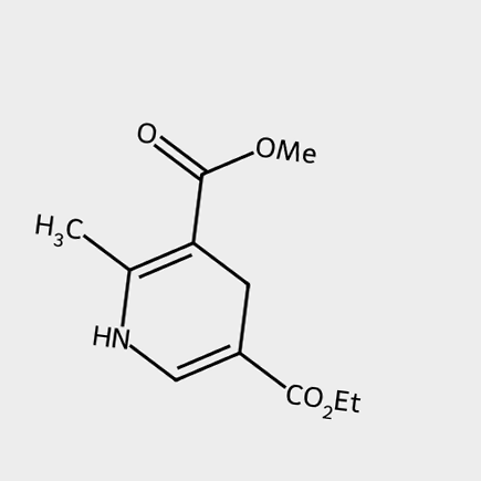 CCOC(=O)C1=CNC(C)=C(C(=O)OC)C1